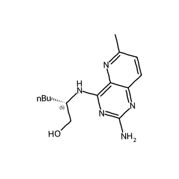 CCCC[C@@H](CO)Nc1nc(N)nc2ccc(C)nc12